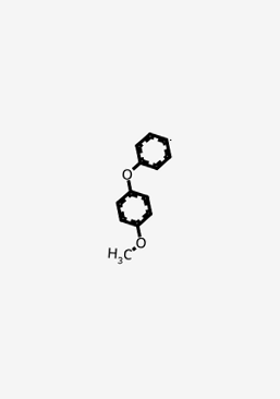 COc1ccc(Oc2cc[c]cc2)cc1